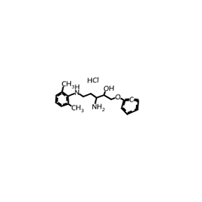 Cc1cccc(C)c1NCCC(N)C(O)COc1ccccc1.Cl